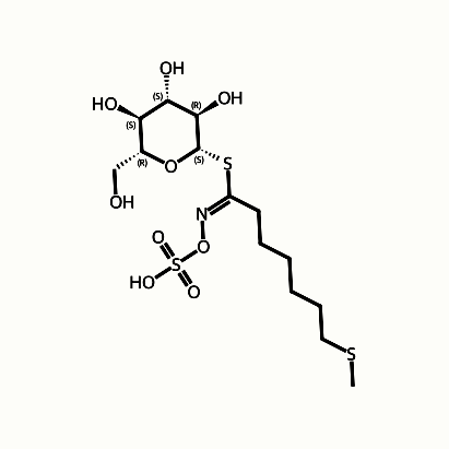 CSCCCCCCC(=NOS(=O)(=O)O)S[C@@H]1O[C@H](CO)[C@@H](O)[C@H](O)[C@H]1O